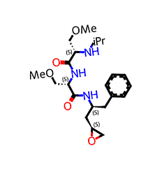 COC[C@H](NC(=O)[C@H](COC)NC(C)C)C(=O)N[C@@H](Cc1ccccc1)C[C@H]1CO1